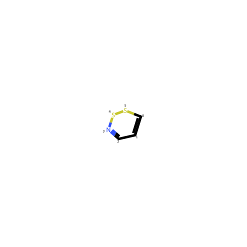 [C]1=CC=NSS1